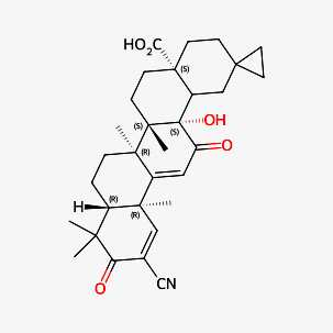 CC1(C)C(=O)C(C#N)=C[C@]2(C)C3=CC(=O)[C@]4(O)C5CC6(CC6)CC[C@]5(C(=O)O)CC[C@@]4(C)[C@]3(C)CC[C@@H]12